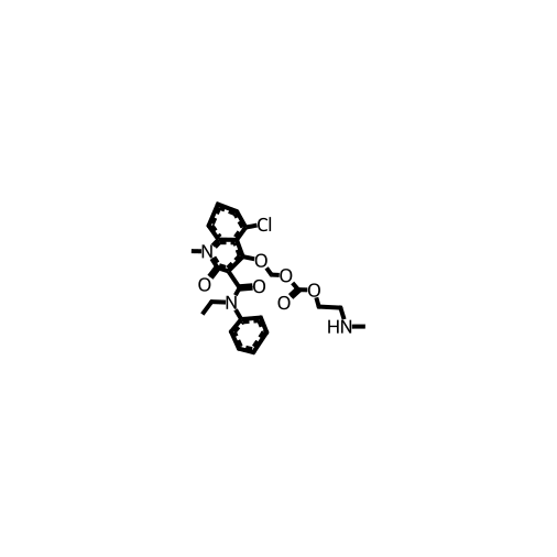 CCN(C(=O)c1c(OCOC(=O)OCCNC)c2c(Cl)cccc2n(C)c1=O)c1ccccc1